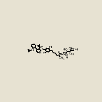 CN(CCCCc1cc(Cl)c(COC2(c3cnccc3-c3ccccc3OC3CC3)CC2)cc1Cl)C(=O)NC[C@H](O)[C@@H](O)[C@H](O)[C@H](O)CO